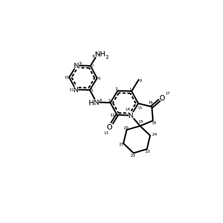 Cc1cc(Nc2cc(N)ncn2)c(=O)n2c1C(=O)CC21CCCCC1